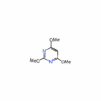 COc1cc(OC)nc(OC)n1